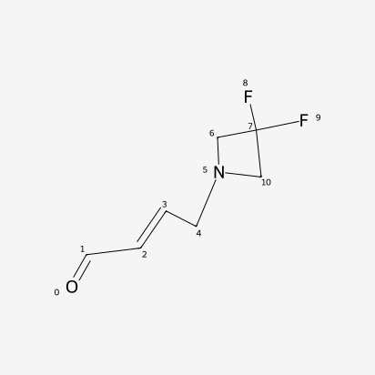 O=CC=CCN1CC(F)(F)C1